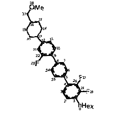 CCCCCCc1ccc(-c2ccc(-c3ccc(C4CCC(COC)CC4)cc3F)cc2)c(F)c1F